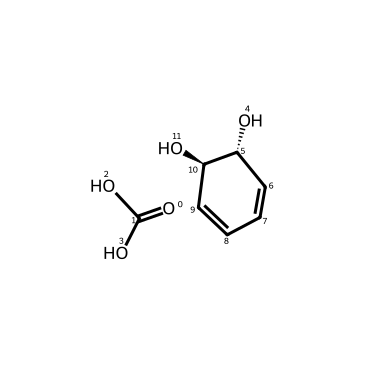 O=C(O)O.O[C@@H]1C=CC=C[C@H]1O